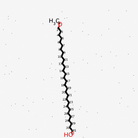 COCCCCCCCCCCCCCCCCCCCCCCCCCCCCCCO